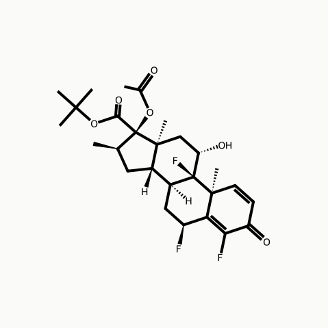 CC(=O)O[C@]1(C(=O)OC(C)(C)C)[C@H](C)C[C@H]2[C@@H]3C[C@H](F)C4=C(F)C(=O)C=C[C@]4(C)[C@@]3(F)[C@@H](O)C[C@@]21C